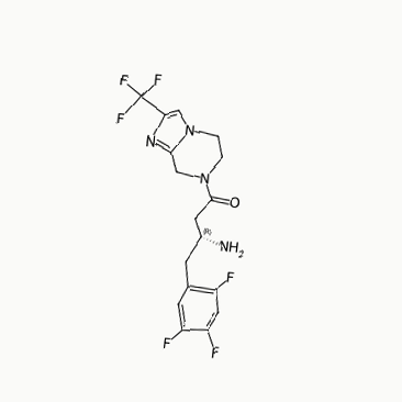 N[C@@H](CC(=O)N1CCn2cc(C(F)(F)F)nc2C1)Cc1cc(F)c(F)cc1F